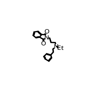 CCN(CCCN1C(=O)c2ccccc2C1=O)CCc1ccccc1